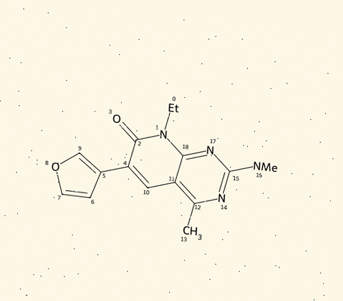 CCn1c(=O)c(-c2ccoc2)cc2c(C)nc(NC)nc21